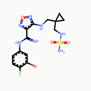 N=C(Nc1ccc(F)c(Br)c1)c1nonc1NCC1(CNS(N)(=O)=O)CC1